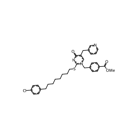 COC(=O)c1ccc(Cn2cc(Cc3cccnc3)c(=O)nc2SCCCCCCCCc2ccc(Cl)cc2)cc1